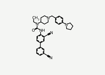 CCN(C(=O)Nc1ccc(-c2cccc(C#N)c2)cc1C#N)C1CCN(Cc2ccc(N3CCCC3)cc2)CC1